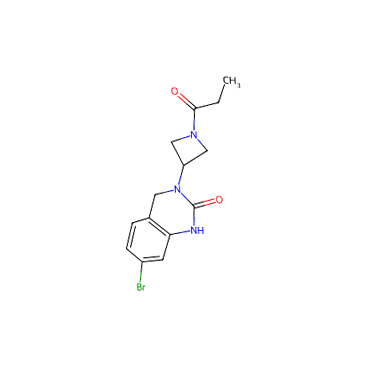 CCC(=O)N1CC(N2Cc3ccc(Br)cc3NC2=O)C1